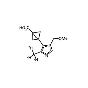 [2H]C([2H])([2H])n1ncc(COC)c1C12CC(C(=O)O)(C1)C2